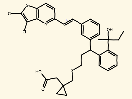 CCC(C)(O)c1ccccc1C(CCSCC1(CC(=O)O)CC1)c1cccc(/C=C/c2ccc3sc(Cl)c(Cl)c3n2)c1